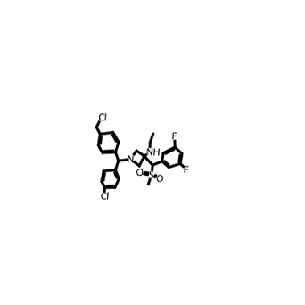 CCNC1(C(c2cc(F)cc(F)c2)S(C)(=O)=O)CN(C(c2ccc(Cl)cc2)c2ccc(CCl)cc2)C1